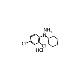 Cl.NN(c1ccc(Cl)cc1Cl)C1CCCCC1